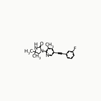 Cc1cc(C#Cc2cccc(F)c2)cnc1N1CC(C)(C)NC1=O